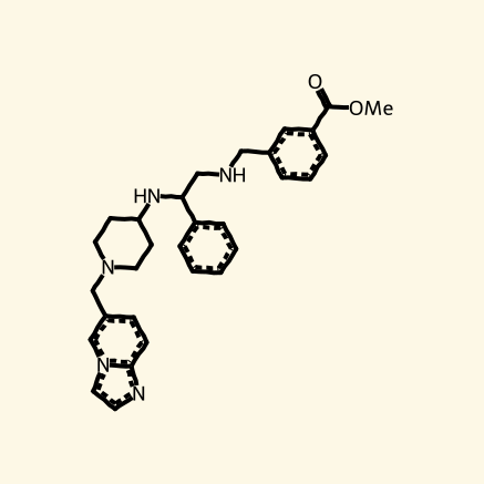 COC(=O)c1cccc(CNCC(NC2CCN(Cc3ccc4nccn4c3)CC2)c2ccccc2)c1